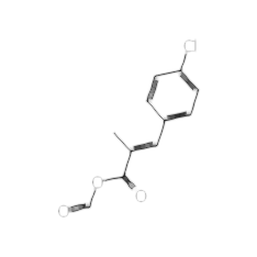 C/C(=C\c1ccc(Cl)cc1)C(=O)OC=O